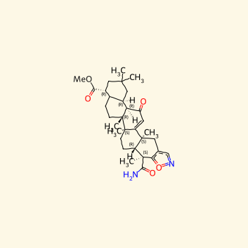 COC(=O)[C@@H]1CC(C)(C)C[C@@H]2C1CC[C@]1(C)[C@@H]2C(=O)C=C2[C@@]3(C)Cc4cnoc4[C@@](C)(C(N)=O)[C@@H]3CC[C@]21C